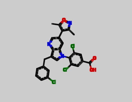 Cc1noc(C)c1-c1cnc2c(Cc3cccc(Cl)c3)cn(-c3c(Cl)cc(C(=O)O)cc3Cl)c2c1